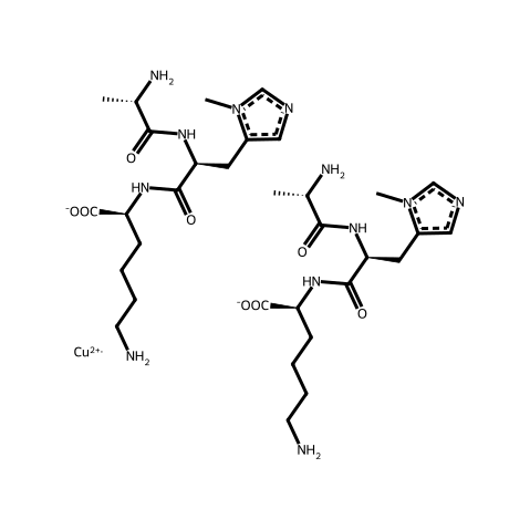 C[C@H](N)C(=O)N[C@@H](Cc1cncn1C)C(=O)N[C@@H](CCCCN)C(=O)[O-].C[C@H](N)C(=O)N[C@@H](Cc1cncn1C)C(=O)N[C@@H](CCCCN)C(=O)[O-].[Cu+2]